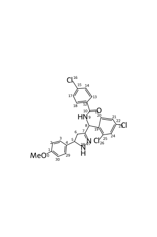 COc1ccc(C2CC(C(NC(=O)c3ccc(Cl)cc3)c3ccc(Cl)cc3Cl)=NN2)cc1